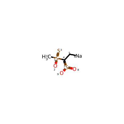 CS(=O)(=S)C([CH2][Na])=S(=O)=O